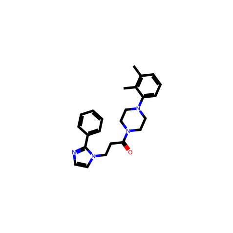 Cc1cccc(N2CCN(C(=O)CCn3ccnc3-c3ccccc3)CC2)c1C